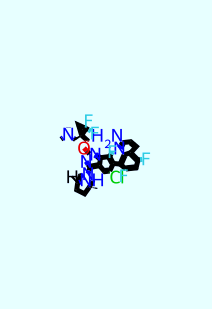 CN(C)C[C@@]1(COc2nc(N3C[C@H]4CC[C@](C)(C3)N4)c3cc(Cl)c(-c4c(F)cc(F)c5ccc(N)nc45)c(F)c3n2)CC1(F)F